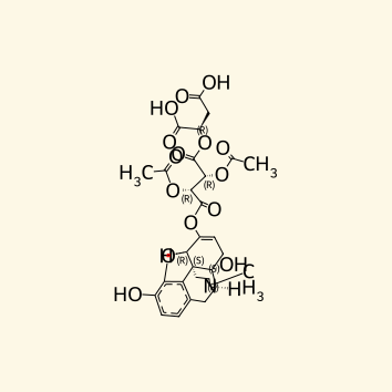 CC(=O)O[C@@H](C(=O)OC1=CC[C@@]2(O)[C@H]3Cc4ccc(O)c5c4[C@@]2(CCN3C)[C@H]1O5)[C@@H](OC(C)=O)C(=O)O[C@H](CC(=O)O)C(=O)O